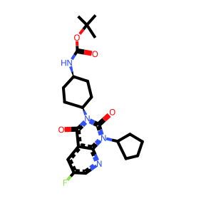 CC(C)(C)OC(=O)N[C@H]1CC[C@@H](n2c(=O)c3cc(F)cnc3n(C3CCCC3)c2=O)CC1